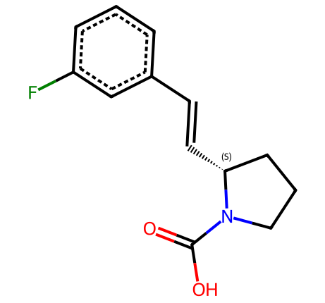 O=C(O)N1CCC[C@H]1C=Cc1cccc(F)c1